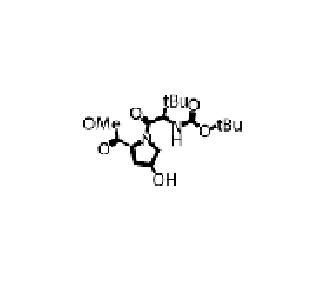 COC(=O)[C@@H]1C[C@H](O)CN1C(=O)[C@H](NC(=O)OC(C)(C)C)C(C)(C)C